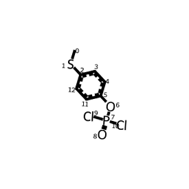 CSc1ccc(OP(=O)(Cl)Cl)cc1